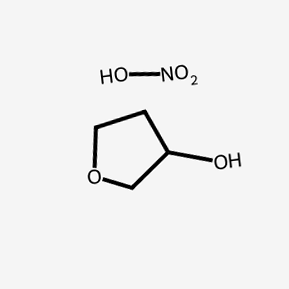 O=[N+]([O-])O.OC1CCOC1